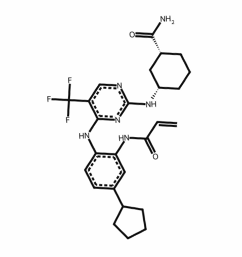 C=CC(=O)Nc1cc(C2CCCC2)ccc1Nc1nc(N[C@H]2CCC[C@@H](C(N)=O)C2)ncc1C(F)(F)F